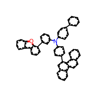 c1ccc(-c2ccc(N(c3ccc(-c4cc5ccccc5c5ccc6ccccc6c45)cc3)c3cccc(-c4cccc5c4oc4ccccc45)c3)cc2)cc1